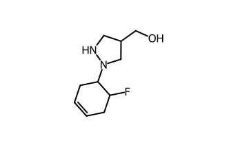 OCC1CNN(C2CC=CCC2F)C1